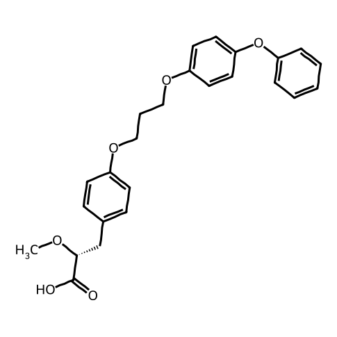 CO[C@H](Cc1ccc(OCCCOc2ccc(Oc3ccccc3)cc2)cc1)C(=O)O